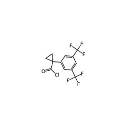 O=C(Cl)C1(c2cc(C(F)(F)F)cc(C(F)(F)F)c2)CC1